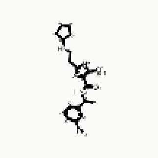 CC(NC(=O)c1sc(CCNC2CCCC2)nc1C(F)(F)F)c1cccc(C(F)(F)F)c1